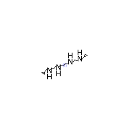 C(=C\CNCCCNCC1CC1)/CNCCCNCC1CC1